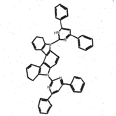 C1=Cc2c(n(-c3nc(-c4ccccc4)cc(-c4ccccc4)n3)c3ccc4c(c5c(n4C4N=C(c6ccccc6)C=C(c6ccccc6)N4)CCC=C5)c23)CC1